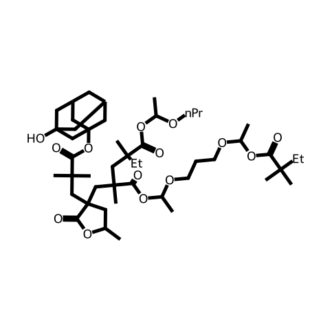 CCCOC(C)OC(=O)C(C)(CC)CC(C)(CC1(CC(C)(C)C(=O)OC23CC4CC(CC(O)(C4)C2)C3)CC(C)OC1=O)C(=O)OC(C)OCCCOC(C)OC(=O)C(C)(C)CC